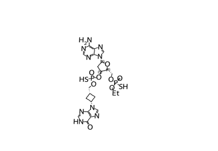 CCOP(=O)(S)OC[C@H]1O[C@@H](n2cnc3c(N)ncnc32)C[C@@H]1OP(=O)(S)OC[C@H]1C[C@@H](n2cnc3c(=O)[nH]cnc32)C1